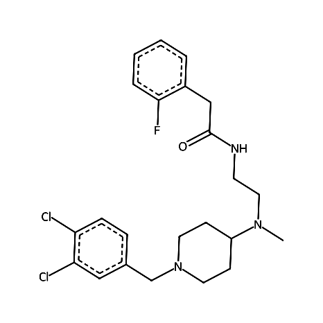 CN(CCNC(=O)Cc1ccccc1F)C1CCN(Cc2ccc(Cl)c(Cl)c2)CC1